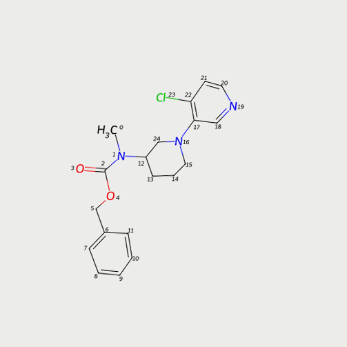 CN(C(=O)OCc1ccccc1)C1CCCN(c2cnccc2Cl)C1